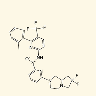 Cc1ccccc1-c1nc(N[S+]([O-])c2cccc(N3CCN4CC(F)(F)CC4C3)n2)ccc1C(F)(F)F